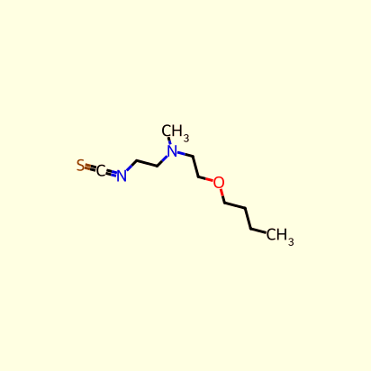 CCCCOCCN(C)CCN=C=S